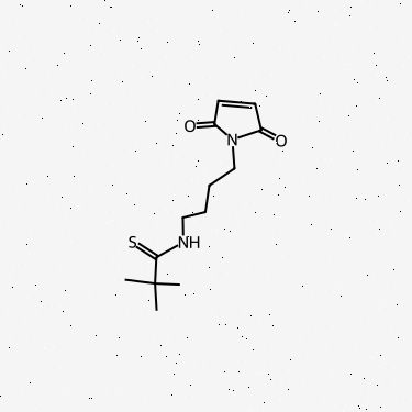 CC(C)(C)C(=S)NCCCCN1C(=O)C=CC1=O